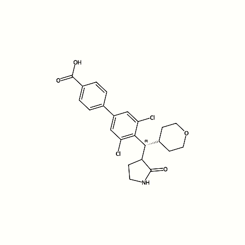 O=C(O)c1ccc(-c2cc(Cl)c([C@H](C3CCOCC3)C3CCNC3=O)c(Cl)c2)cc1